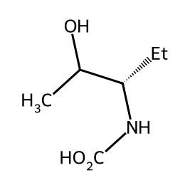 CC[C@H](NC(=O)O)C(C)O